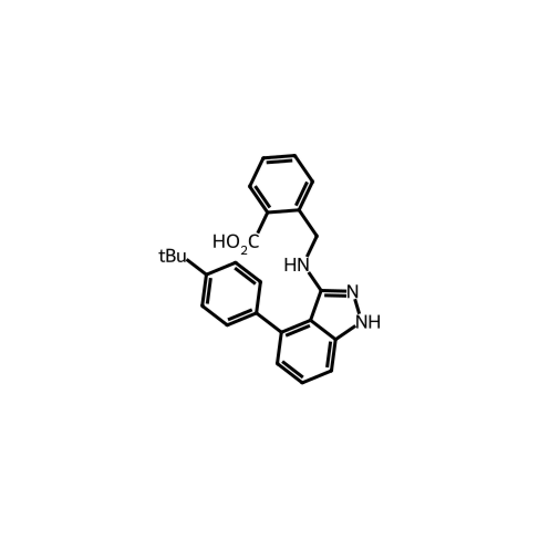 CC(C)(C)c1ccc(-c2cccc3[nH]nc(NCc4ccccc4C(=O)O)c23)cc1